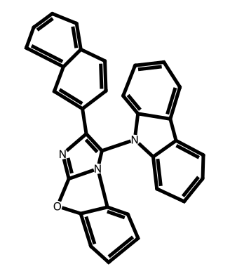 c1ccc2cc(-c3nc4oc5ccccc5n4c3-n3c4ccccc4c4ccccc43)ccc2c1